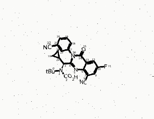 CC(C)(C)N(C(=O)O)[C@H](c1nc2c(C#N)cc(F)cc2c(=O)n1-c1cccc(C#N)c1)C1CC1